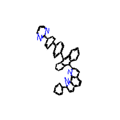 c1ccc(-c2ccc3ccc4ccc(-c5c6ccccc6c(-c6ccc(-c7ccc(-c8ncccn8)cc7)cc6)c6ccccc56)nc4c3n2)cc1